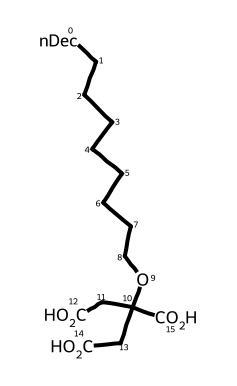 CCCCCCCCCCCCCCCCCCOC(CC(=O)O)(CC(=O)O)C(=O)O